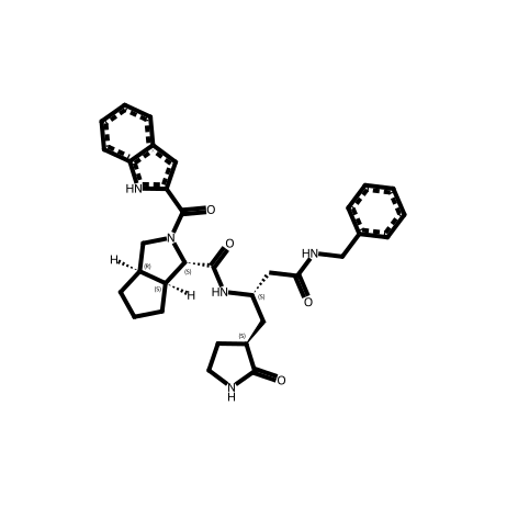 O=C(C[C@H](C[C@@H]1CCNC1=O)NC(=O)[C@@H]1[C@H]2CCC[C@H]2CN1C(=O)c1cc2ccccc2[nH]1)NCc1ccccc1